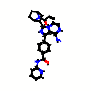 C=CC(=O)N1C2CCC1C(c1nc(-c3ccc(C(=O)Nc4ccccn4)cc3)c3c(N)nccn13)C2